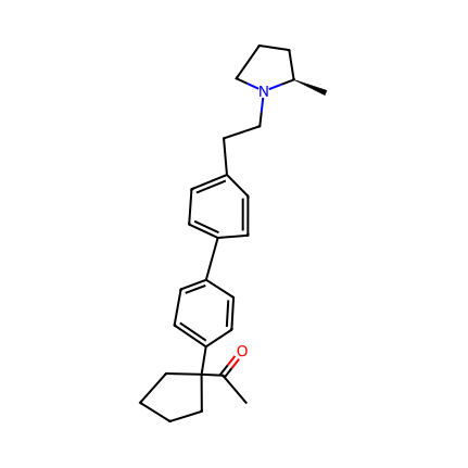 CC(=O)C1(c2ccc(-c3ccc(CCN4CCC[C@H]4C)cc3)cc2)CCCC1